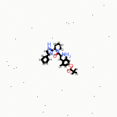 Cc1cc(OC(=O)C(C)(C)C)cc(C)c1C[C@H](N)C(=O)N1CCCC[C@H]1c1nc(-c2ccccc2)c[nH]1